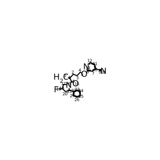 C=C(CCCOc1cc(C#N)ccn1)C(=O)N1CC(F)CC1c1ccccc1